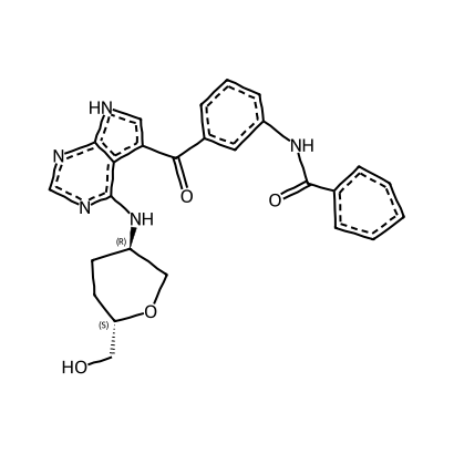 O=C(Nc1cccc(C(=O)c2c[nH]c3ncnc(N[C@@H]4CC[C@@H](CO)OC4)c23)c1)c1ccccc1